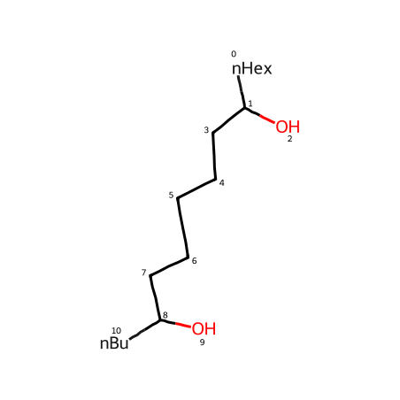 CCCCCCC(O)CCCCCC(O)CCCC